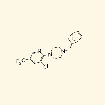 FC(F)(F)c1cnc(N2CCN(CC3CC4C=CC3C4)CC2)c(Cl)c1